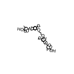 COc1cc2c(cc1OCCCOc1nc3c(cc1OC)CN(C(=O)C[C@H](C)C(=O)O)C3)CN(C(=O)C[C@H](C)C(=O)O)C2